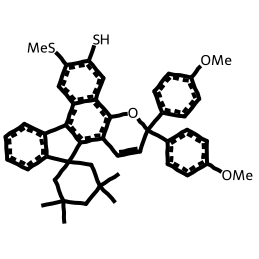 COc1ccc(C2(c3ccc(OC)cc3)C=Cc3c4c(c5cc(SC)c(S)cc5c3O2)-c2ccccc2C42CC(C)(C)CC(C)(C)C2)cc1